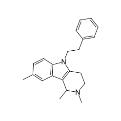 Cc1ccc2c(c1)c1c(n2CCc2ccccc2)CCN(C)C1C